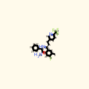 Cc1cc([C@H](CCc2ccc(C(F)(F)F)nc2)N[C@@H](C(N)=O)c2ccccc2)ccc1F